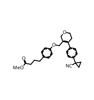 COC(=O)CCCc1ccc(OCC2=C(c3ccc(C4(C#N)CC4)cc3)CCOC2)cc1